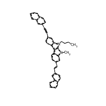 CCCCn1c2cc(C#Cc3ccc4ccccc4c3)ccc2c2c3ccc(/C=C/c4ccc5ccccc5c4)cc3n(C)c21